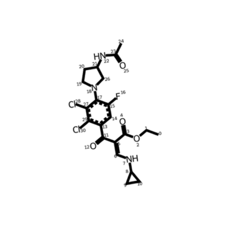 CCOC(=O)C(=CNC1CC1)C(=O)c1cc(F)c(N2CCC(NC(C)=O)C2)c(Cl)c1Cl